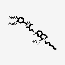 CC=CC=CC(=O)N1CCc2ccc(OCCc3nc(-c4ccc(OC)c(OC)c4)oc3C)cc2C1C(=O)O